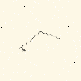 C=C(O)CCCCCCCC/C=C\CCCCCCCC